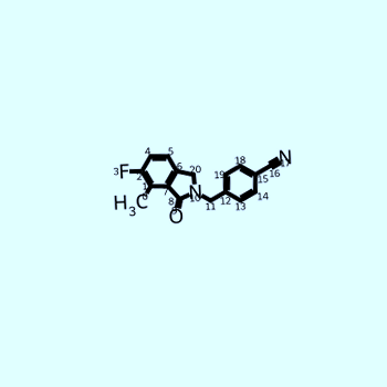 Cc1c(F)ccc2c1C(=O)N(Cc1ccc(C#N)cc1)C2